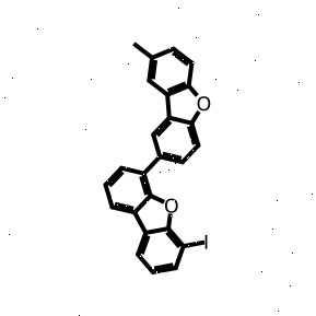 Cc1ccc2oc3ccc(-c4cccc5c4oc4c(I)cccc45)cc3c2c1